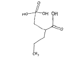 CCCC(CP(=O)(O)O)C(=O)O